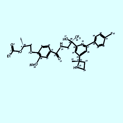 CCC(=O)O[C@H](C)COc1ccc(C(=O)NC[C@@](O)(c2cc([C@]3(C)CCN3)cc(-c3ccc(F)cc3)n2)C(F)(F)F)cc1OC